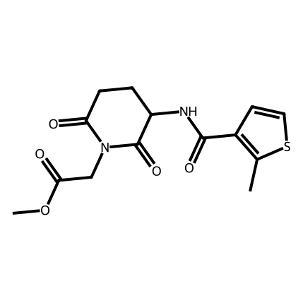 COC(=O)CN1C(=O)CCC(NC(=O)c2ccsc2C)C1=O